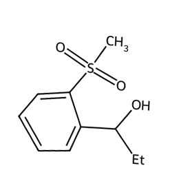 CCC(O)c1ccccc1S(C)(=O)=O